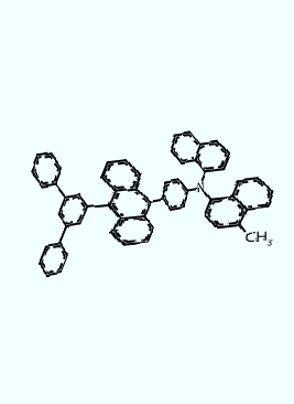 Cc1ccc(N(c2ccc(-c3c4ccccc4c(-c4cc(-c5ccccc5)cc(-c5ccccc5)c4)c4ccccc34)cc2)c2cccc3ccccc23)c2ccccc12